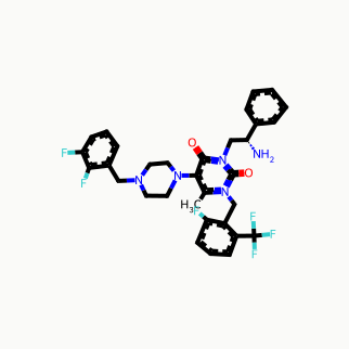 Cc1c(N2CCN(Cc3cccc(F)c3F)CC2)c(=O)n(C[C@@H](N)c2ccccc2)c(=O)n1Cc1c(F)cccc1C(F)(F)F